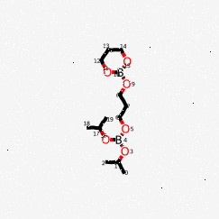 CC(C)OB(OCCCOB1OCCCO1)OC(C)C